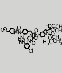 COCC1CCN(C(=O)Nc2ccc(CC(C(=O)Nc3ccc4c(c3)cc(C(=O)OC(C)(C)C)n4C(=O)OC(C)(C)C)N3CCN(c4cc(Cl)ccc4-n4cnnn4)C(=O)C3=O)cc2)CC1